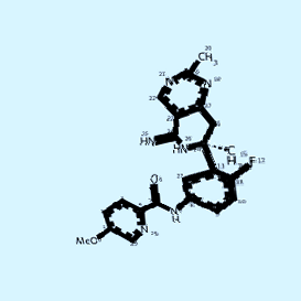 COc1ccc(C(=O)Nc2ccc(F)c([C@]3(C)Cc4nc(C)ncc4C(=N)N3)c2)nc1